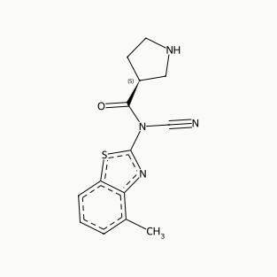 Cc1cccc2sc(N(C#N)C(=O)[C@H]3CCNC3)nc12